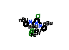 CCCCc1cccc(CCCC)c1N=Cc1cc(Cl)cc(C=Nc2c(CCCC)cccc2CCCC)n1.[Cl-].[Cl-].[Cl-].[Fe+3]